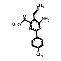 C/C=C/c1c(N)nc(-c2ccc(C(F)(F)F)cc2)nc1C(=O)OC